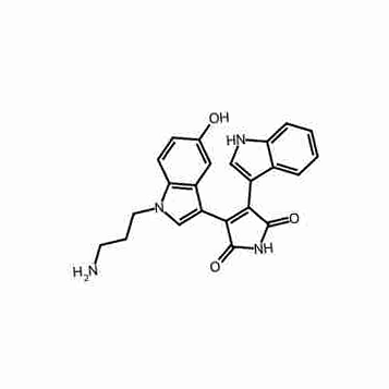 NCCCn1cc(C2=C(c3c[nH]c4ccccc34)C(=O)NC2=O)c2cc(O)ccc21